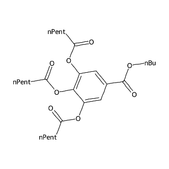 CCCCCC(=O)Oc1cc(C(=O)OCCCC)cc(OC(=O)CCCCC)c1OC(=O)CCCCC